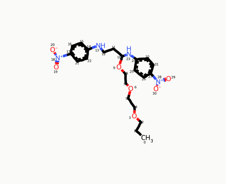 CCCOCCOCCOC(CCNc1ccc([N+](=O)[O-])cc1)Nc1ccc([N+](=O)[O-])cc1